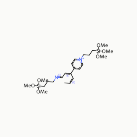 C\C=C/C(=C\C=N\CCC[Si](OC)(OC)OC)c1cc[n+](CCC[Si](OC)(OC)OC)cc1